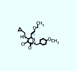 CCO/C=C/c1nn(Cc2ccc(OC)cc2)c(=O)c(Cl)c1NCC1CC1